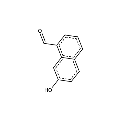 O=Cc1cccc2ccc(O)cc12